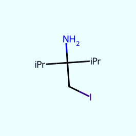 CC(C)C(N)(CI)C(C)C